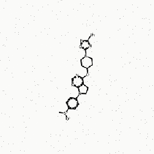 CC(C)c1noc(N2CCC(Oc3ncnc4c3CCN4c3ccc([S+](C)[O-])cc3)CC2)n1